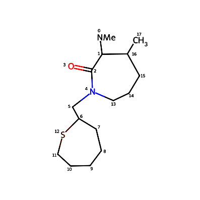 CNC1C(=O)N(CC2CCCCCS2)CCCC1C